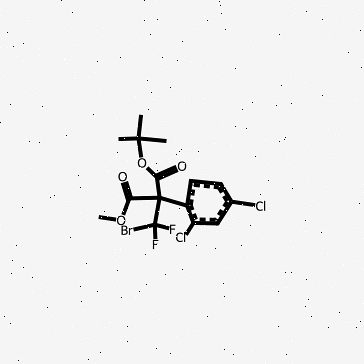 COC(=O)C(C(=O)OC(C)(C)C)(c1ccc(Cl)cc1Cl)C(F)(F)Br